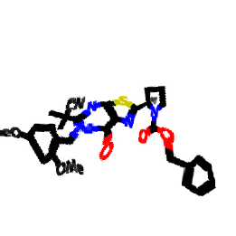 COc1ccc(Cn2c(C(C)(C)C#N)nc3sc([C@H]4CCCN4C(=O)OCc4ccccc4)nc3c2=O)c(OC)c1